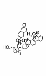 CN(CCO)C(=O)CN(C1CCCN(c2ccc(-c3ccccc3S(C)(=O)=O)cc2F)C1=O)S(=O)(=O)c1ccc2cc(Cl)ccc2c1